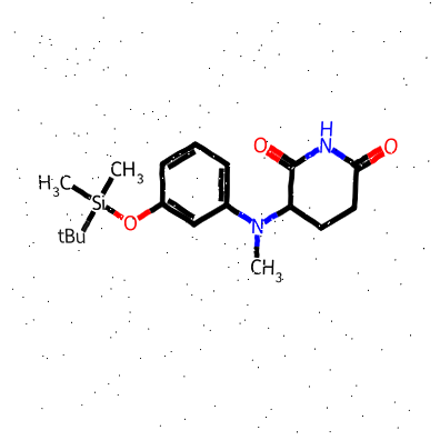 CN(c1cccc(O[Si](C)(C)C(C)(C)C)c1)C1CCC(=O)NC1=O